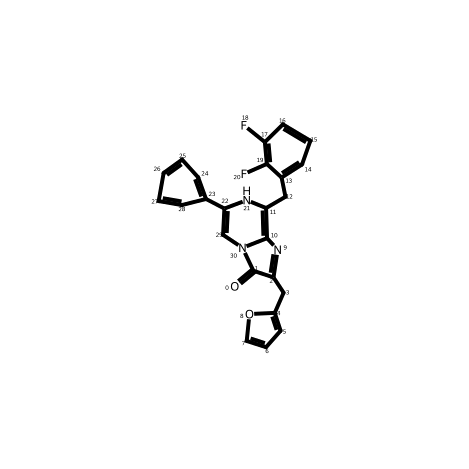 O=c1c(Cc2ccco2)nc2c(Cc3cccc(F)c3F)[nH]c(-c3ccccc3)cn1-2